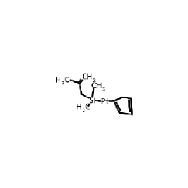 C=C(C)C[Si](C)(C)[Pt][C]1=CC=CC1